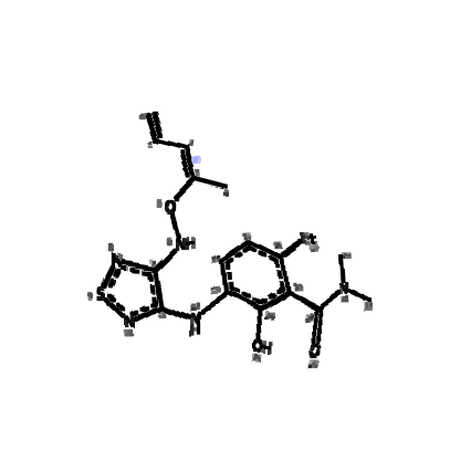 C=C/C=C(/C)ONc1nsnc1Nc1ccc(CC)c(C(=O)N(C)C)c1O